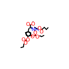 CCCOC(=O)Oc1ccc(C[C@H](NCCOC(=O)CCC)C(=O)OC)cc1OC(=O)OCCC